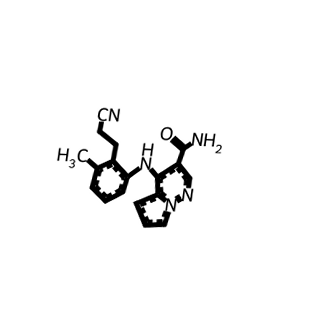 Cc1cccc(Nc2c(C(N)=O)cnn3cccc23)c1CCC#N